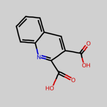 O=C(O)c1cc2ccccc2nc1C(=O)O